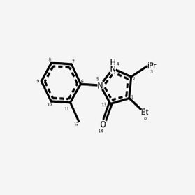 CCc1c(C(C)C)[nH]n(-c2ccccc2C)c1=O